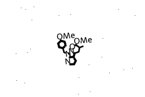 COC(=O)C(C)Cc1nn(Cc2ccc(OC)cc2)c2ncccc12